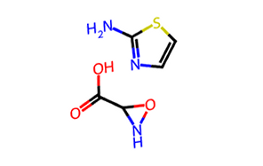 Nc1nccs1.O=C(O)C1NO1